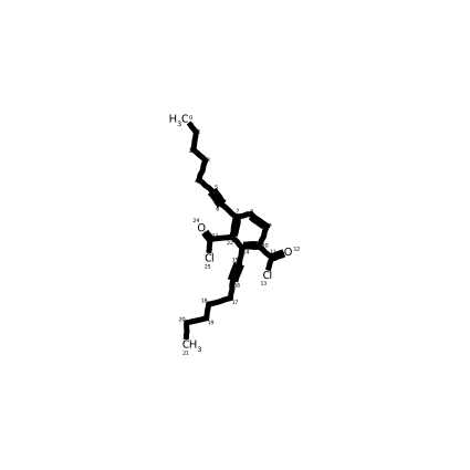 CCCCCC#Cc1ccc(C(=O)Cl)c(C#CCCCCC)c1C(=O)Cl